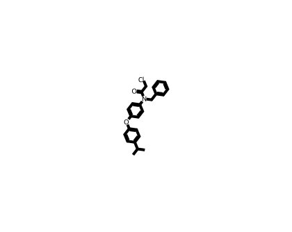 CC(C)c1ccc(Oc2ccc(N(Cc3ccccc3)C(=O)CCl)cc2)cc1